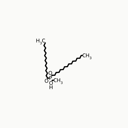 CCCCCCCCCCCCCCCC(=O)P(C(=O)CCCCCCCCCCCCCCC)C(C)O